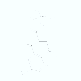 Cn1cc(C(=O)OC(C)(C)C)c(=O)c2cc(Br)cnc21